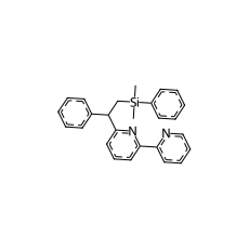 C[Si](C)(CC(c1ccccc1)c1cccc(-c2ccccn2)n1)c1ccccc1